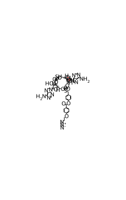 [N-]=[N+]=NCCOc1ccc(C(=O)Oc2ccc(CS[P@]3(=O)OC[C@H]4O[C@@H](n5cnc6c(N)ncnc65)[C@H](O)[C@@H]4O[P@](=O)(S)OC[C@H]4O[C@@H](n5cnc6c(N)ncnc65)[C@H](O3)[C@@H]4O)cc2)cc1